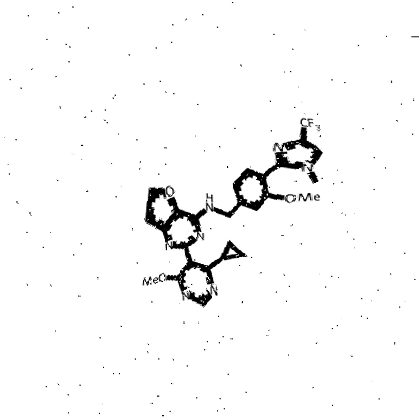 COc1cc(CNc2nc(-c3c(OC)ncnc3C3CC3)nc3ccoc23)ccc1-c1nc(C(F)(F)F)cn1C